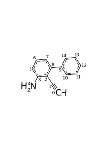 C#Cc1c(N)cccc1-c1ccccc1